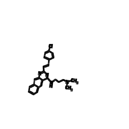 CN(C)CCCNc1nc(C=Cc2ccc(Cl)cc2)nc2cc3ccccc3cc12